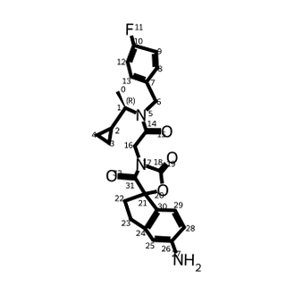 C[C@H](C1CC1)N(Cc1ccc(F)cc1)C(=O)CN1C(=O)OC2(CCc3cc(N)ccc32)C1=O